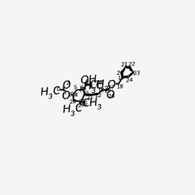 CC(=O)O[C@@H]1C[C@@H](C(C)O)C(=C=CC(C)C(=O)OCc2ccccc2)C(C)(C)C1